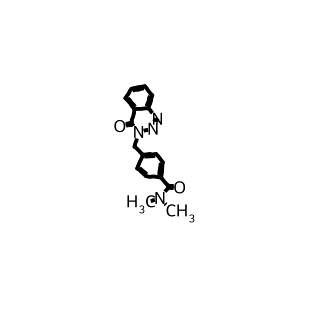 CN(C)C(=O)c1ccc(Cn2nnc3ccccc3c2=O)cc1